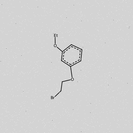 CCOc1cccc(OCCBr)c1